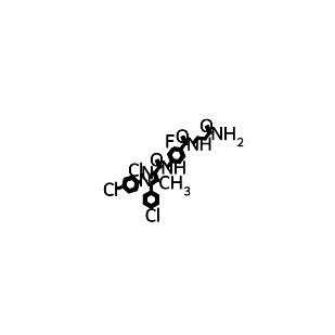 Cc1c(C(=O)Nc2ccc(C(=O)NCCC(N)=O)c(F)c2)nn(-c2ccc(Cl)cc2Cl)c1-c1ccc(Cl)cc1